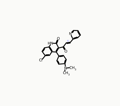 CN(C)c1ccc(-c2c(C(=O)/C=C/c3ccccn3)c(=O)[nH]c3ccc(Cl)cc23)cc1